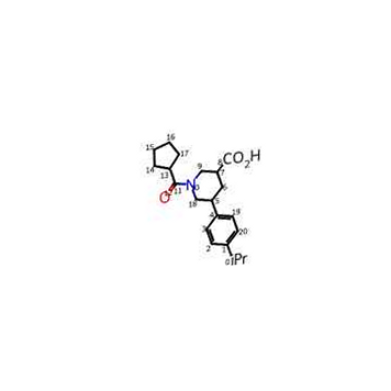 CC(C)c1ccc(C2CC(C(=O)O)CN(C(=O)C3CCCC3)C2)cc1